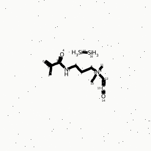 C=C(C)C(=O)NCCC[N+](C)(C)C=C=O.[SiH3][SiH3]